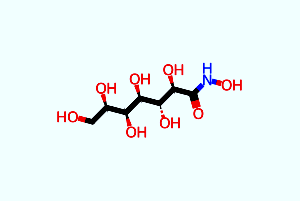 O=C(NO)[C@H](O)[C@H](O)[C@H](O)[C@@H](O)[C@H](O)CO